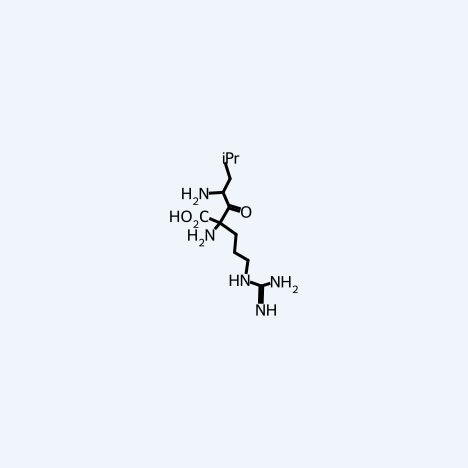 CC(C)CC(N)C(=O)C(N)(CCCNC(=N)N)C(=O)O